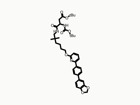 CC(C)(CCCCOc1cccc(-c2ccc(-c3ccc4c(c3)OCO4)cc2)n1)CNC(=O)C(CC(=O)OC(C)(C)C)NC(=O)OC(C)(C)C